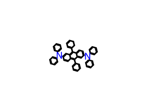 C1=CCCC(c2c3cc(N(c4ccccc4)c4ccccc4)ccc3c(-c3ccccc3)c3cc(N(c4ccccc4)c4ccccc4)ccc23)=C1